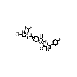 O=C(C[C@@H](C(F)F)n1ccc(Cl)n1)N1CCC(O)(Cn2cnn3c(-c4ccc(F)cc4)cnc3c2=O)CC1